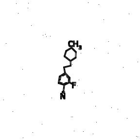 CC1CCC(CCc2ccc(C#N)c(F)c2)CC1